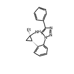 CC[C@@]1(N)C[C@H]1c1ccccc1-n1cc(-c2ccccc2)nn1